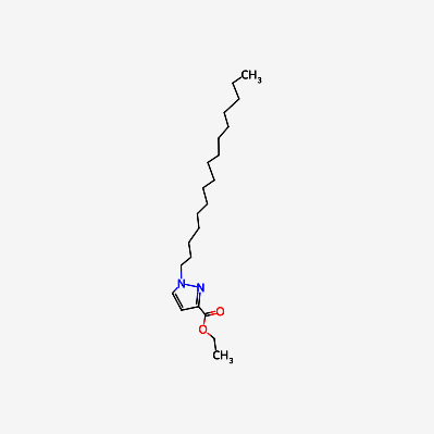 CCCCCCCCCCCCCCCCn1ccc(C(=O)OCC)n1